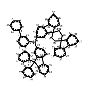 c1ccc(-c2cccc(N(c3ccc4c(c3)C3(CCC5(CC3)c3ccccc3-c3ccccc35)c3ccccc3-4)c3ccc4c(c3)C(c3ccccc3)(c3ccccc3)c3ccccc3-4)c2)cc1